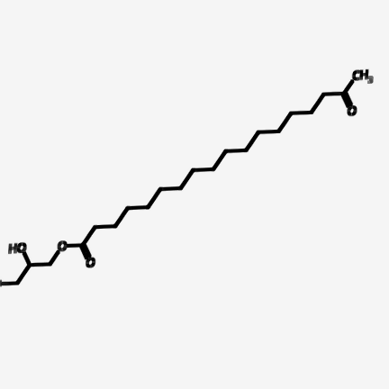 CC(=O)CCCCCCCCCCCCCCCC(=O)OCC(O)CO